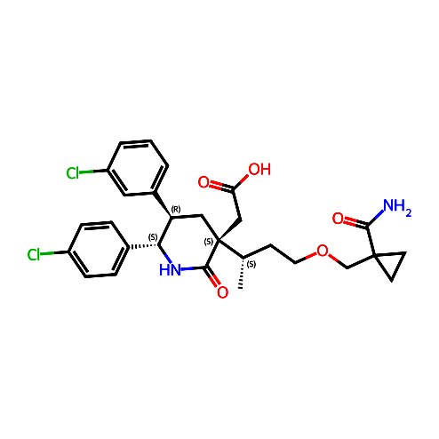 C[C@@H](CCOCC1(C(N)=O)CC1)[C@@]1(CC(=O)O)C[C@H](c2cccc(Cl)c2)[C@@H](c2ccc(Cl)cc2)NC1=O